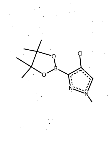 Cn1cc(Cl)c(B2OC(C)(C)C(C)(C)O2)n1